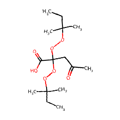 CCC(C)(C)OOC(CC(C)=O)(OOC(C)(C)CC)C(=O)O